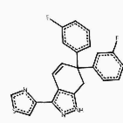 Fc1cccc(C2(c3cccc(F)c3)C=Cc3c(-c4cscn4)n[nH]c3C2)c1